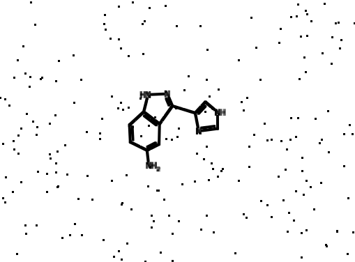 Nc1ccc2[nH]nc(-c3c[nH]cn3)c2c1